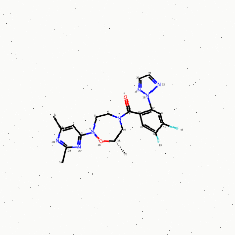 Cc1cc(N2CCN(C(=O)c3cc(F)c(F)cc3-n3nccn3)C[C@H](C)O2)nc(C)n1